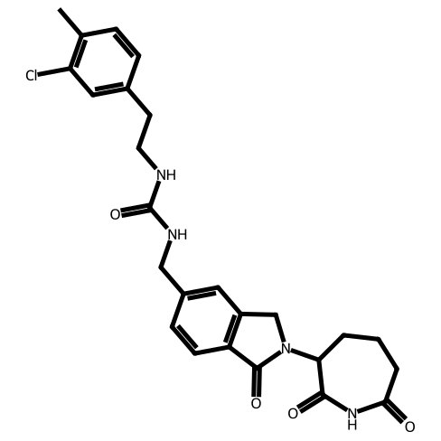 Cc1ccc(CCNC(=O)NCc2ccc3c(c2)CN(C2CCCC(=O)NC2=O)C3=O)cc1Cl